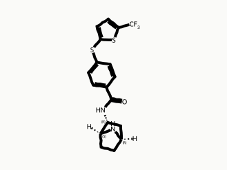 O=C(N[C@@H]1C[C@H]2CC[C@@H]1N2)c1ccc(Sc2ccc(C(F)(F)F)s2)cc1